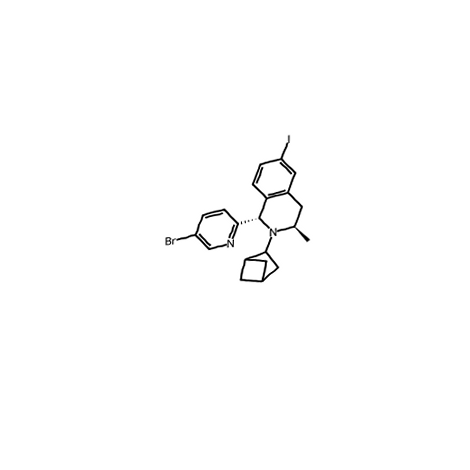 C[C@@H]1Cc2cc(I)ccc2[C@@H](c2ccc(Br)cn2)N1C1CC2CC1C2